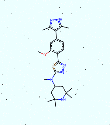 COc1cc(-c2c(C)n[nH]c2C)ccc1-c1nnc(N(C)C2CC(C)(C)NC(C)(C)C2)s1